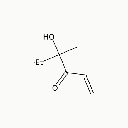 C=CC(=O)C(C)(O)[CH]C